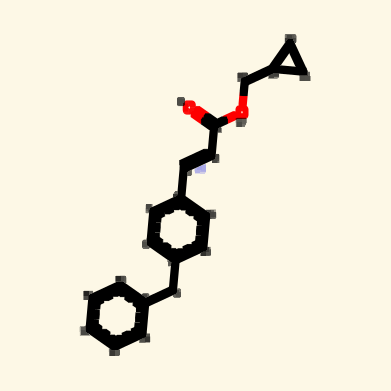 O=C(/C=C/c1ccc(Cc2ccccc2)cc1)OCC1CC1